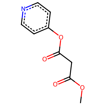 COC(=O)CC(=O)Oc1ccncc1